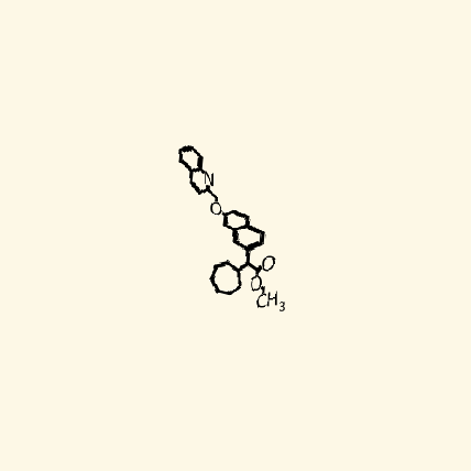 CCOC(=O)C(c1ccc2ccc(OCc3ccc4ccccc4n3)cc2c1)C1CCCCCC1